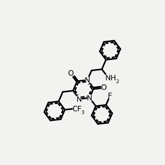 NC(Cn1c(=O)c(Cc2ccccc2C(F)(F)F)nn(-c2ccccc2F)c1=O)c1ccccc1